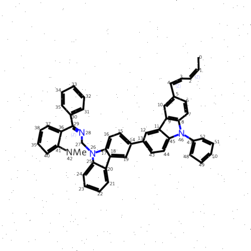 C/C=C\C=C/c1ccc2c(c1)c1cc(-c3ccc4c(c3)c3ccccc3n4C/N=C(/c3ccccc3)c3ccccc3NC)ccc1n2-c1ccccc1